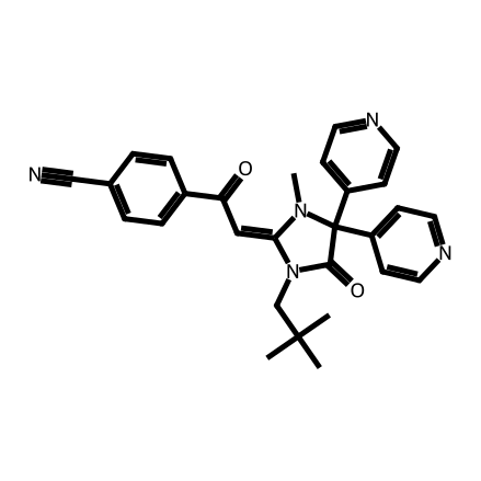 CN1C(=CC(=O)c2ccc(C#N)cc2)N(CC(C)(C)C)C(=O)C1(c1ccncc1)c1ccncc1